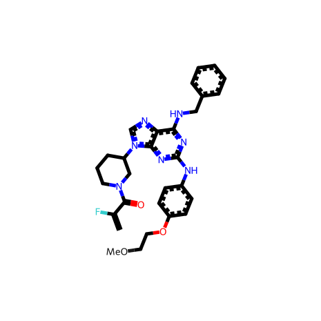 C=C(F)C(=O)N1CCCC(n2cnc3c(NCc4ccccc4)nc(Nc4ccc(OCCOC)cc4)nc32)C1